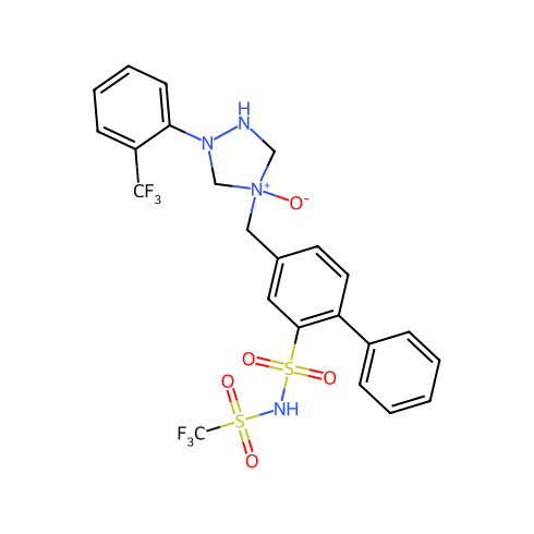 O=S(=O)(NS(=O)(=O)C(F)(F)F)c1cc(C[N+]2([O-])CNN(c3ccccc3C(F)(F)F)C2)ccc1-c1ccccc1